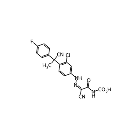 CC(C#N)(c1ccc(F)cc1)c1ccc(NN=C(C#N)C(=O)NC(=O)O)cc1Cl